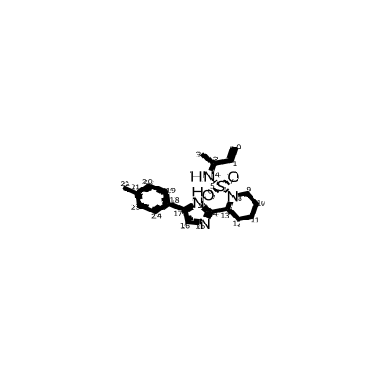 C=CC(C)NS(=O)(=O)N1CCCCC1c1ncc(-c2ccc(C)cc2)[nH]1